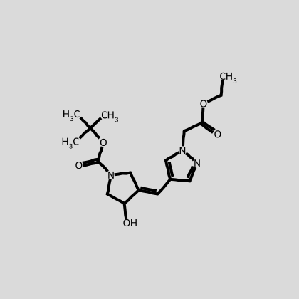 CCOC(=O)Cn1cc(/C=C2\CN(C(=O)OC(C)(C)C)CC2O)cn1